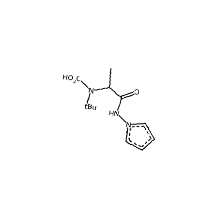 CC(C(=O)Nn1cccc1)N(C(=O)O)C(C)(C)C